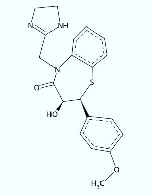 COc1ccc([C@@H]2Sc3ccccc3N(CC3=NCCN3)C(=O)[C@@H]2O)cc1